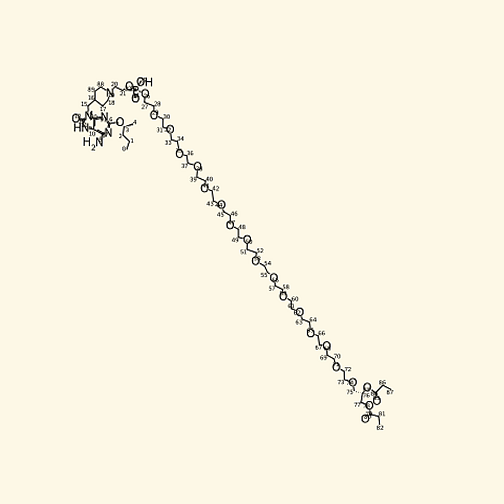 CCC[C@H](C)Oc1nc(N)c2[nH]c(=O)n(CC3CCN(CCOP(=O)(O)OCCOCCOCCOCCOCCOCCOCCOCCOCCOCCOCCOCCOCCOCCOCCOCCOC[C@@H](COC(=O)CC)OC(=O)CC)CC3)c2n1